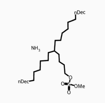 CCCCCCCCCCCCCCCCC(CCCCCCCCCCCCCCCC)CCCCOS(=O)(=O)OC.N